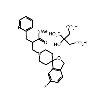 CNC(=O)C(Cc1ccccn1)CN1CCC2(CC1)OCc1ccc(F)cc12.O=C(O)CC(O)(CC(=O)O)C(=O)O